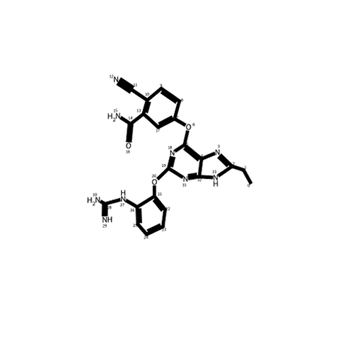 CCc1nc2c(Oc3ccc(C#N)c(C(N)=O)c3)nc(Oc3ccccc3NC(=N)N)nc2[nH]1